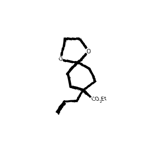 C=CCC1(C(=O)OCC)CCC2(CC1)OCCO2